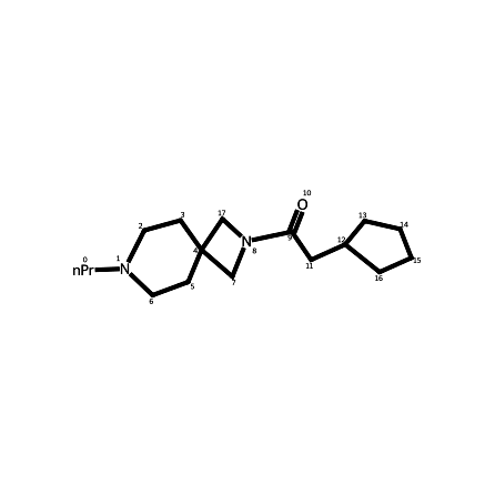 CCCN1CCC2(CC1)CN(C(=O)CC1CCCC1)C2